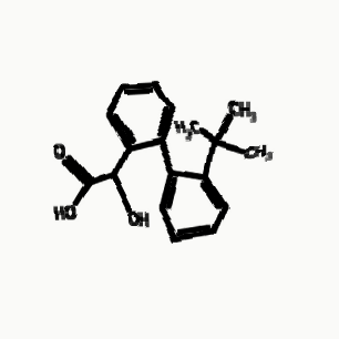 CC(C)(C)c1ccccc1-c1ccccc1C(O)C(=O)O